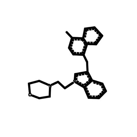 Cc1ccc(Cc2cn(CCN3CCOCC3)c3ccccc23)c2ccccc12